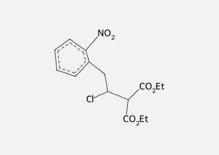 CCOC(=O)C(C(=O)OCC)C(Cl)Cc1ccccc1[N+](=O)[O-]